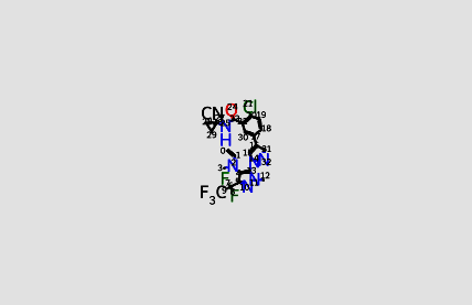 C=CN(C)c1c(C(F)(F)C(F)(F)F)nn(C)c1-n1cc(-c2ccc(Cl)c(C(=O)NC3(C#N)CC3)c2)cn1